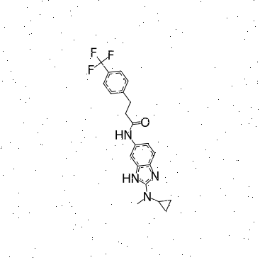 CN(c1nc2ccc(NC(=O)CCc3ccc(C(F)(F)F)cc3)cc2[nH]1)C1CC1